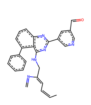 C=N/C(=C\C=C/C)CNc1nc(-c2cncc(C=O)c2)nc2cccc(-c3ccccc3)c12